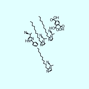 CC(C#N)c1c[nH]c(-c2ccccc2)n1.CCCCCCCCCCCc1nccn1C(C)C#N.CCCCCCCCCCCc1nccn1C(C)C#N.CCCCCCCCCCCc1nccn1C(C)C#N.O=C(O)c1ccc(C(=O)O)c(C(=O)O)c1